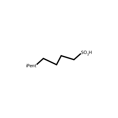 CCCC(C)CCCCS(=O)(=O)O